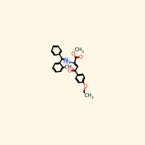 CCOc1ccc(C(=O)C=C(NN=C(c2ccccc2)c2ccccc2C)C(=O)OC)cc1